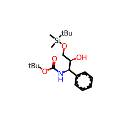 CC(C)(C)OC(=O)N[C@H](c1ccccc1)[C@H](O)CO[Si](C)(C)C(C)(C)C